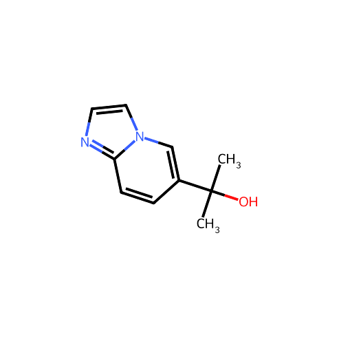 CC(C)(O)c1ccc2nccn2c1